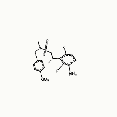 COc1ccc(CN(C)S(=O)(=O)C[C@@H](C)c2c(F)ccc(N)c2F)cc1